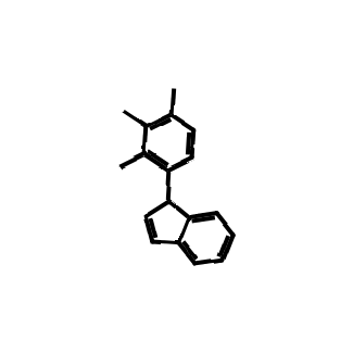 Cc1ccc([C]2C=Cc3ccccc32)c(C)c1C